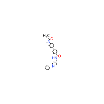 CCC(=O)N1CCc2cc(-c3ccc(C(=O)NCC4=CCN(Cc5ccccc5)CC4)cc3)ccc21